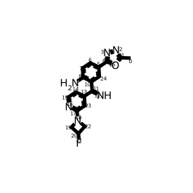 Cc1nnc(-c2ccc(N)c(C(=N)c3ccnc(N4CC(F)C4)c3)c2)o1